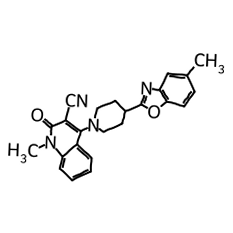 Cc1ccc2oc(C3CCN(c4c(C#N)c(=O)n(C)c5ccccc45)CC3)nc2c1